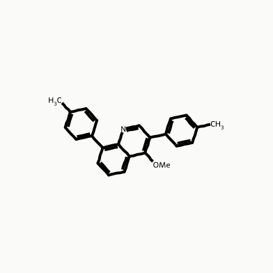 COc1c(-c2ccc(C)cc2)cnc2c(-c3ccc(C)cc3)cccc12